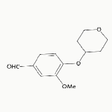 COc1cc(C=O)ccc1OC1CCOCC1